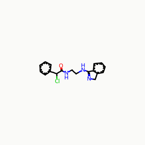 O=C(NCCNC1=NCc2ccccc21)C(Cl)c1ccccc1